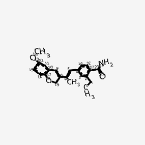 CCc1cc(C=C(C)C2=Cc3cc(OC)ccc3OC2)ccc1C(N)=O